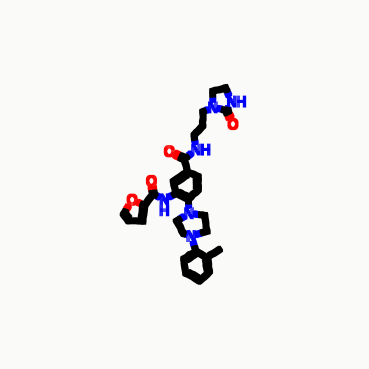 Cc1ccccc1N1CCN(c2ccc(C(=O)NCCCN3CCNC3=O)cc2NC(=O)c2ccco2)CC1